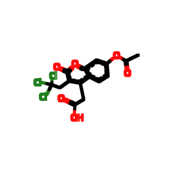 CC(=O)Oc1ccc2c(CC(=O)O)c(CC(Cl)(Cl)Cl)c(=O)oc2c1